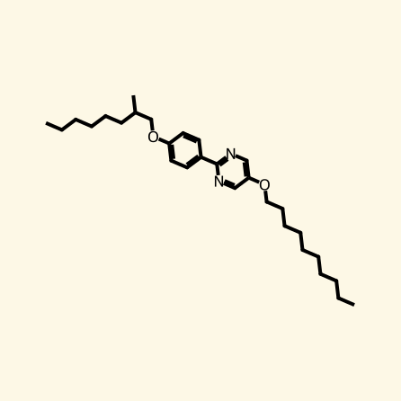 CCCCCCCCCCOc1cnc(-c2ccc(OCC(C)CCCCCC)cc2)nc1